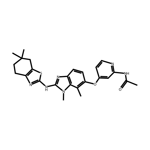 CC(=O)Nc1cc(Oc2ccc3nc(Nc4nc5c(s4)CC(C)(C)CC5)n(C)c3c2C)ccn1